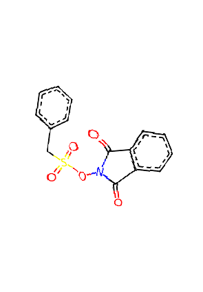 O=C1c2ccccc2C(=O)N1OS(=O)(=O)Cc1ccccc1